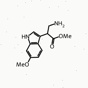 COC(=O)C(CN)c1c[nH]c2cc(OC)ccc12